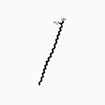 CCCCCCCCCCCCCCCCCCCCCCCCCCCCCC(N)CO